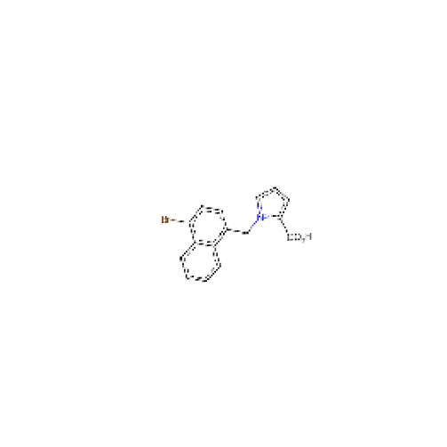 O=C(O)c1cccn1Cc1ccc(Br)c2ccccc12